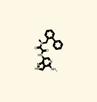 CN(Cc1ccccc1-c1ccccc1)C(=O)C(=O)Nc1cnc(N)c2c[nH]nc12